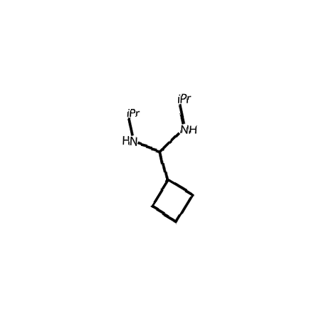 CC(C)NC(NC(C)C)C1CCC1